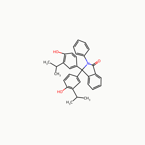 CC(C)c1cc(C2(c3ccc(O)c(C(C)C)c3)c3ccccc3C(=O)N2c2ccccc2)ccc1O